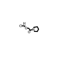 O=C(CONCl)N1CCCCC1